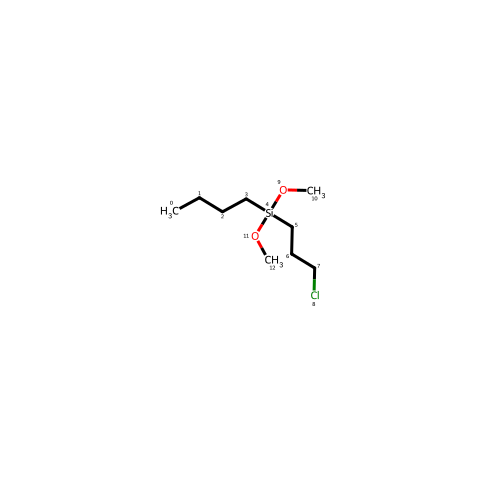 CCCC[Si](CCCCl)(OC)OC